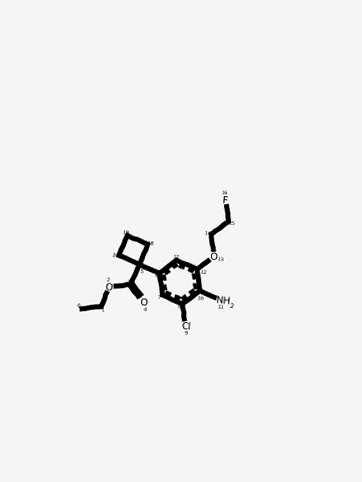 CCOC(=O)C1(c2cc(Cl)c(N)c(OCCF)c2)CCC1